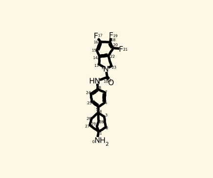 NC12CCC(c3ccc(NC(=O)N4Cc5cc(F)c(F)c(F)c5C4)cc3)(CC1)CC2